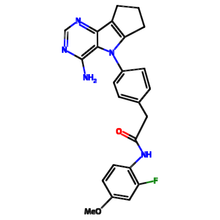 COc1ccc(NC(=O)Cc2ccc(-n3c4c(c5ncnc(N)c53)CCC4)cc2)c(F)c1